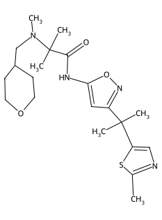 Cc1ncc(C(C)(C)c2cc(NC(=O)C(C)(C)N(C)CC3CCOCC3)on2)s1